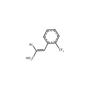 CC(=O)/C(=C\c1ccccc1C(F)(F)F)C(=O)O